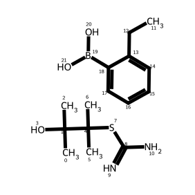 CC(C)(O)C(C)(C)SC(=N)N.CCc1ccccc1B(O)O